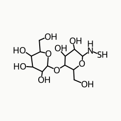 OCC1OC(OC2C(CO)OC(NS)C(O)C2O)C(O)C(O)C1O